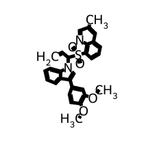 C=CC(n1cc(-c2ccc(OC)c(OC)c2)c2ccccc21)S(=O)(=O)c1cccc2cc(C)cnc12